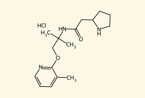 Cc1cccnc1OCC(C)(C)NC(=O)CC1CCCN1.Cl